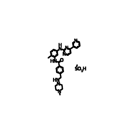 CS(=O)(=O)O.Cc1ccc(Nc2nccc(-c3cccnc3)n2)cc1NC(=O)c1ccc(CNN2CCN(C)CC2)cc1